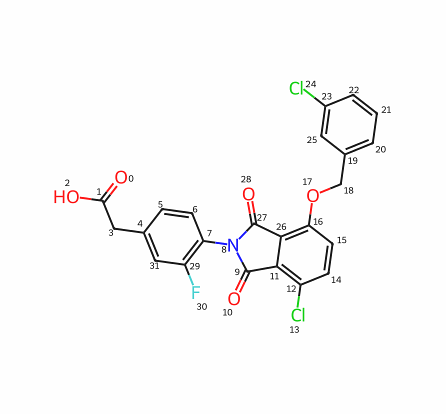 O=C(O)Cc1ccc(N2C(=O)c3c(Cl)ccc(OCc4cccc(Cl)c4)c3C2=O)c(F)c1